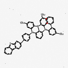 CC(C)(C)c1ccc2c(c1)B1c3ccc(C(C)(C)C)cc3N(c3ccc(-c4ccc5c(c4)sc4ccccc45)cc3)c3cccc(c31)N2c1ccc(C(C)(C)C)cc1-c1ccccc1